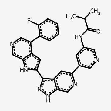 CC(C)C(=O)Nc1cncc(-c2cc3c(-c4cc5c(-c6ccccc6F)cncc5[nH]4)n[nH]c3cn2)c1